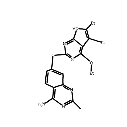 CCOc1nc(Oc2ccc3c(N)nc(C)nc3c2)nc2[nH]c(CC)c(Cl)c12